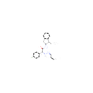 COC1c2ccccc2CC1NC(=O)C(c1ccc(F)cc1)N(C)/N=C\C=C/C=O